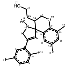 CC(=O)N1CC(c2cc(F)ccc2F)=CC12c1cc(F)cc(C)c1OCC2CCO